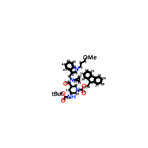 COCCCn1cc(CN(C(=O)C2CC(NC(=O)OC(C)(C)C)CN(C(=O)OCC3c4ccccc4-c4ccccc43)C2)C2CC2)c2ccccc21